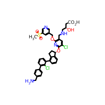 CS(=O)(=O)c1cncc(COc2nc(O[C@H]3CCc4c(-c5cccc(-c6ccc(CN)cc6)c5Cl)cccc43)c(Cl)cc2CNC[C@@H](O)CC(=O)O)c1